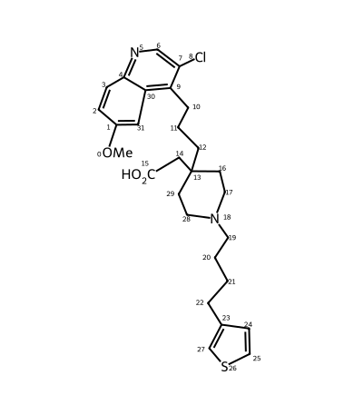 COc1ccc2ncc(Cl)c(CCCC3(CC(=O)O)CCN(CCCCc4ccsc4)CC3)c2c1